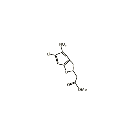 COC(=O)CC1Cc2cc([N+](=O)[O-])c(Cl)cc2O1